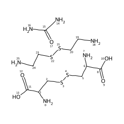 NC(CSSCC(N)C(=O)O)C(=O)O.NC(N)=O.NCCSSCCN